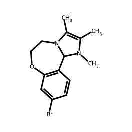 CC1=C(C)N2CCOc3cc(Br)ccc3C2N1C